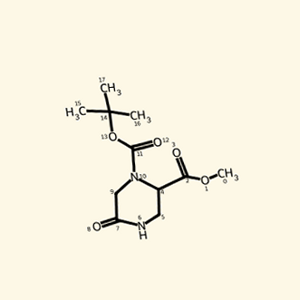 COC(=O)C1CNC(=O)CN1C(=O)OC(C)(C)C